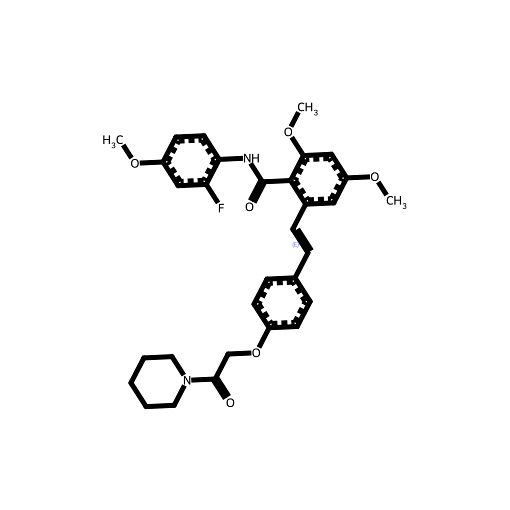 COc1ccc(NC(=O)c2c(/C=C/c3ccc(OCC(=O)N4CCCCC4)cc3)cc(OC)cc2OC)c(F)c1